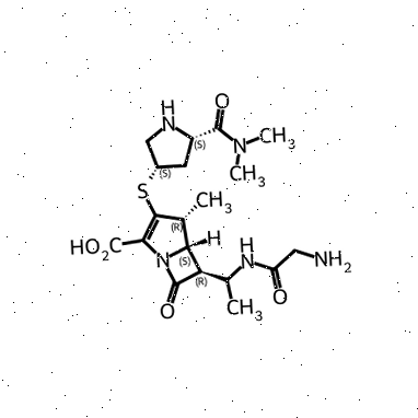 CC(NC(=O)CN)[C@H]1C(=O)N2C(C(=O)O)=C(S[C@@H]3CN[C@H](C(=O)N(C)C)C3)[C@H](C)[C@H]12